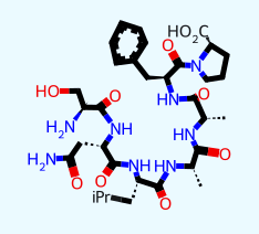 CC(C)C[C@H](NC(=O)[C@H](CC(N)=O)NC(=O)[C@@H](N)CO)C(=O)N[C@@H](C)C(=O)N[C@@H](C)C(=O)N[C@@H](Cc1ccccc1)C(=O)N1CCC[C@H]1C(=O)O